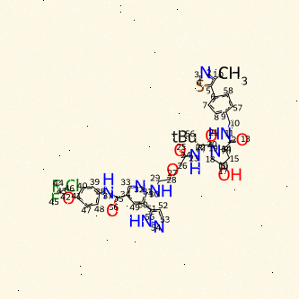 Cc1ncsc1-c1ccc(CNC(=O)[C@H]2C[C@H](O)CN2C(=O)[C@H](NC(=O)COCCNc2ncc(C(=O)Nc3ccc(OC(F)(F)Cl)cc3)cc2-c2ccn[nH]2)C(C)(C)C)cc1